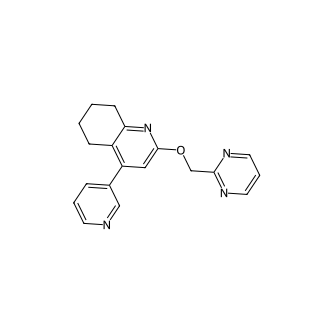 c1cnc(COc2cc(-c3cccnc3)c3c(n2)CCCC3)nc1